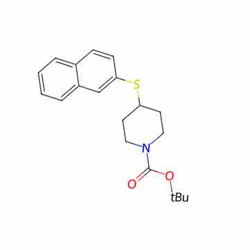 CC(C)(C)OC(=O)N1CCC(Sc2ccc3ccccc3c2)CC1